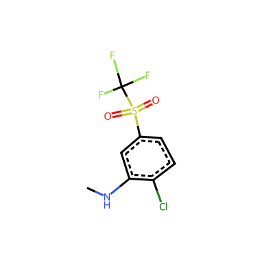 CNc1cc(S(=O)(=O)C(F)(F)F)ccc1Cl